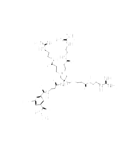 CNC(=O)c1cc(C)cc(C(=O)NCCC(=O)NC(COCCC(=O)NCCNC(=N)N)(COCCC(=O)NCCNC(=N)N)COCCC(=O)NCCNC(=N)N)c1